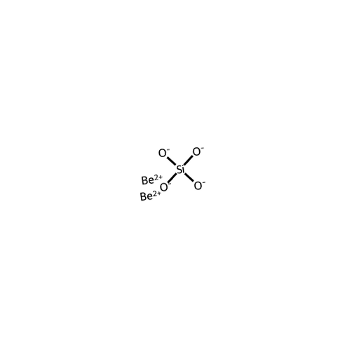 [Be+2].[Be+2].[O-][Si]([O-])([O-])[O-]